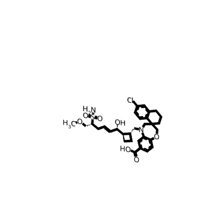 COC[C@@H](C/C=C/[C@H](O)[C@@H]1CC[C@H]1CN1CC2(CCCc3cc(Cl)ccc32)COc2ccc(C(=O)O)cc21)S(N)(=O)=O